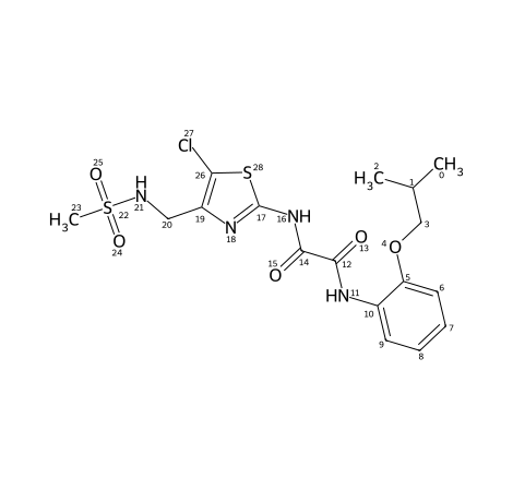 CC(C)COc1ccccc1NC(=O)C(=O)Nc1nc(CNS(C)(=O)=O)c(Cl)s1